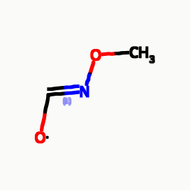 CO/N=C/[O]